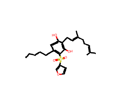 CCCCCc1cc(O)c(C/C=C(\C)CCC=C(C)C)c(O)c1S(=O)(=O)c1ccoc1